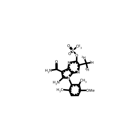 [2H]C([2H])([2H])c1nc2c(nc1OS(=O)(=O)C(F)(F)F)c(C(N)=O)c(N)n2-c1c(C)ccc(OC)c1C